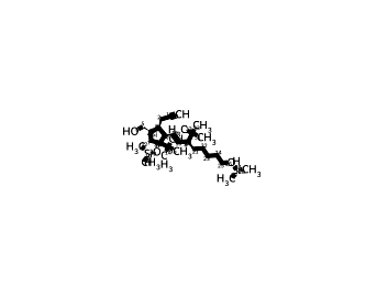 C#CC[C@@H]1[C@@H](CO)C[C@](O[SiH](C)C)(C(C)(C)C)[C@@H]1C=C[C@H](CCCCCO[SiH](C)C)C(C)(C)C